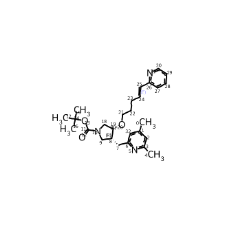 Cc1cc(C)nc(C[C@@H]2CN(C(=O)OC(C)(C)C)C[C@@H]2OCCC/C=C/c2ccccn2)c1